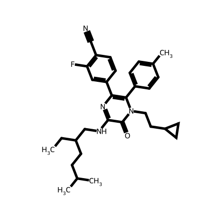 CCC(CCC(C)C)CNc1nc(-c2ccc(C#N)c(F)c2)c(-c2ccc(C)cc2)n(CCC2CC2)c1=O